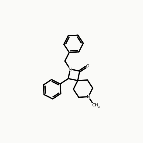 CN1CCC2(CC1)C(=O)N(Cc1ccccc1)C2c1ccccc1